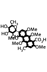 COc1cc(C)c2c(OC)c3c(OC)c([C@H]4O[C@@H](C)[C@@H](O)[C@@H](O)[C@@H]4O)cc(OC)c3c(OC)c2c1C(=O)O